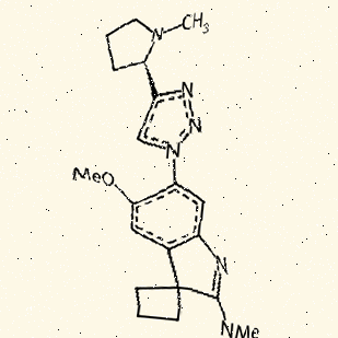 CNC1=Nc2cc(-n3cc([C@H]4CCCN4C)nn3)c(OC)cc2C12CCC2